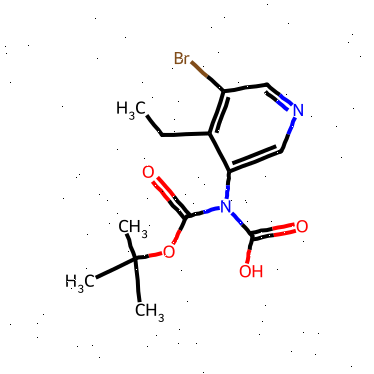 CCc1c(Br)cncc1N(C(=O)O)C(=O)OC(C)(C)C